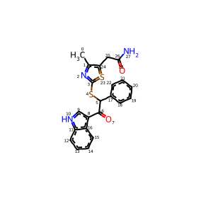 Cc1nc(SC(C(=O)c2c[nH]c3ccccc23)c2ccccc2)sc1CC(N)=O